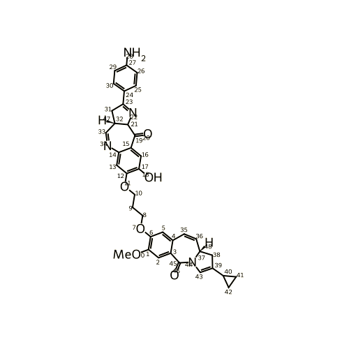 COc1cc2c(cc1OCCCOc1cc3c(cc1O)C(=O)C1N=C(c4ccc(N)cc4)C[C@H]1C=N3)C=C[C@@H]1CC(C3CC3)=CN1C2=O